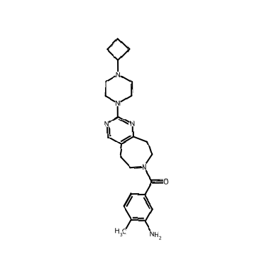 Cc1ccc(C(=O)N2CCc3cnc(N4CCN(C5CCC5)CC4)nc3CC2)cc1N